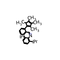 CC1=C(C)C(C)C(c2ccccc2/C=N\c2c(C(C)C)cccc2C(C)C)=C1C